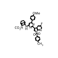 COc1ccc(-c2cc(NC3C4CCC(CC4)C3C(=O)O)nc(-c3cn(S(=O)(=O)c4ccc(C)cc4)c4ncc(F)cc34)n2)cc1